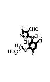 Cc1nn(C)c(N(C)c2cc(O[C@@H](C)C(=O)O)c(Cl)cc2Cl)c1C=O